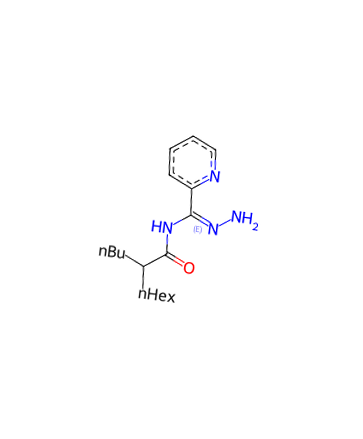 CCCCCCC(CCCC)C(=O)N/C(=N/N)c1ccccn1